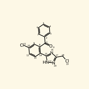 O=C(c1ccccc1)c1cc(Cl)ccc1-c1nc(CCl)n[nH]1